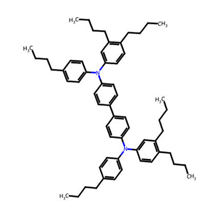 CCCCc1ccc(N(c2ccc(-c3ccc(N(c4ccc(CCCC)cc4)c4ccc(CCCC)c(CCCC)c4)cc3)cc2)c2ccc(CCCC)c(CCCC)c2)cc1